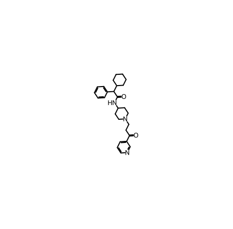 O=C(CCN1CCC(NC(=O)C(c2ccccc2)C2CCCCC2)CC1)c1cccnc1